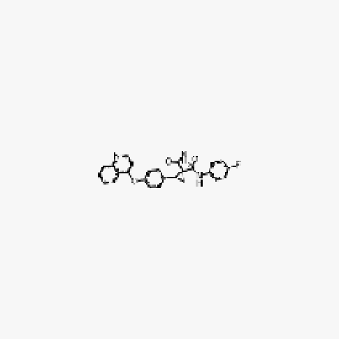 NC(=O)C1(C(=O)Nc2ccc(F)cc2)CC1c1ccc(Oc2ccnc3ccccc23)cc1